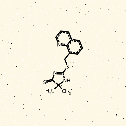 CC1(C)NC(SCc2cccc3cccnc23)=NC1=S